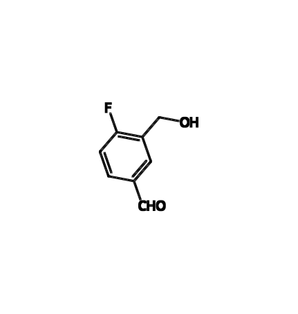 O=Cc1ccc(F)c(CO)c1